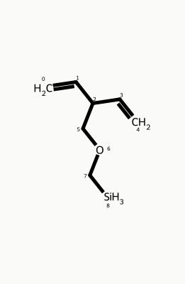 C=CC(C=C)COC[SiH3]